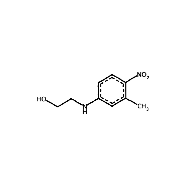 Cc1cc(NCCO)ccc1[N+](=O)[O-]